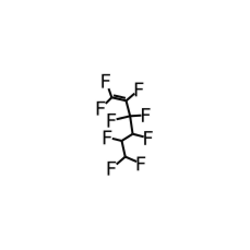 FC(F)=C(F)C(F)(F)C(F)C(F)C(F)F